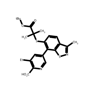 CCc1cc(-c2c(SC(C)(C)C(=O)OC(C)(C)C)ccc3c(C)nsc23)cnc1C(=O)O